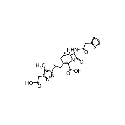 Cn1c(CC(=O)O)nnc1SCC1=C(C(=O)O)N2C(=O)C(NC(=O)Cc3cccs3)[C@H]2SC1